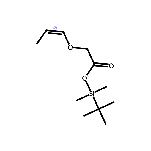 C/C=C\OCC(=O)O[Si](C)(C)C(C)(C)C